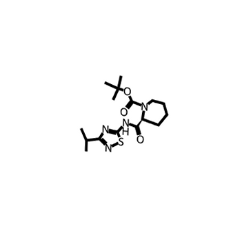 CC(C)c1nsc(NC(=O)[C@@H]2CCCCN2C(=O)OC(C)(C)C)n1